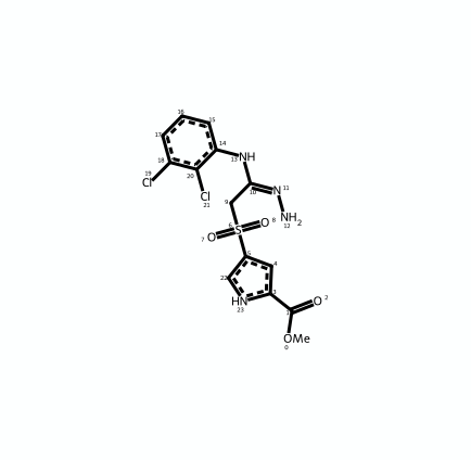 COC(=O)c1cc(S(=O)(=O)C/C(=N\N)Nc2cccc(Cl)c2Cl)c[nH]1